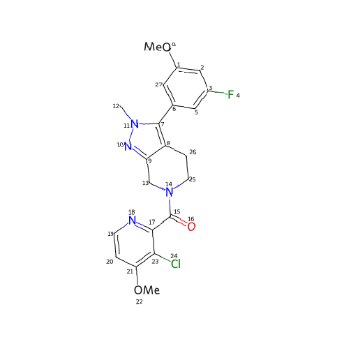 COc1cc(F)cc(-c2c3c(nn2C)CN(C(=O)c2nccc(OC)c2Cl)CC3)c1